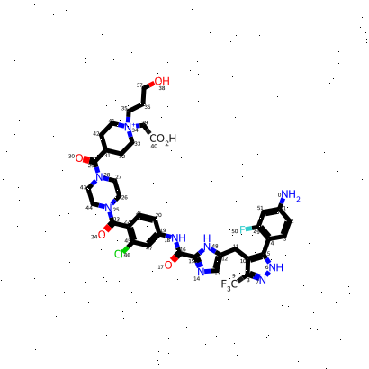 Nc1ccc(-c2[nH]nc(C(F)(F)F)c2Cc2cnc(C(=O)Nc3ccc(C(=O)N4CCN(C(=O)C5CC[N+](CCCO)(CC(=O)O)CC5)CC4)c(Cl)c3)[nH]2)c(F)c1